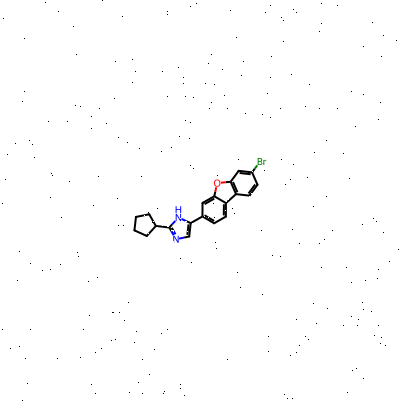 Brc1ccc2c(c1)oc1cc(-c3cnc(C4CCCC4)[nH]3)ccc12